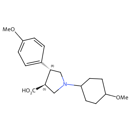 COc1ccc([C@@H]2CN(C3CCC(OC)CC3)C[C@H]2C(=O)O)cc1